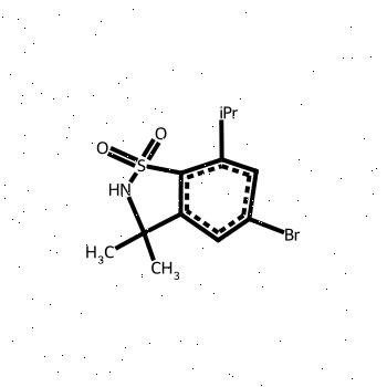 CC(C)c1cc(Br)cc2c1S(=O)(=O)NC2(C)C